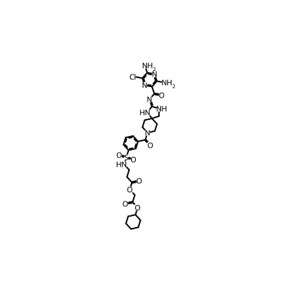 Nc1nc(N)c(C(=O)/N=C2\NCC3(CCN(C(=O)c4cccc(S(=O)(=O)NCCC(=O)OCC(=O)OC5CCCCC5)c4)CC3)N2)nc1Cl